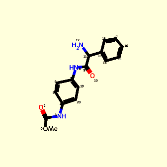 COC(=O)Nc1ccc(NC(=O)C(N)c2ccccc2)cc1